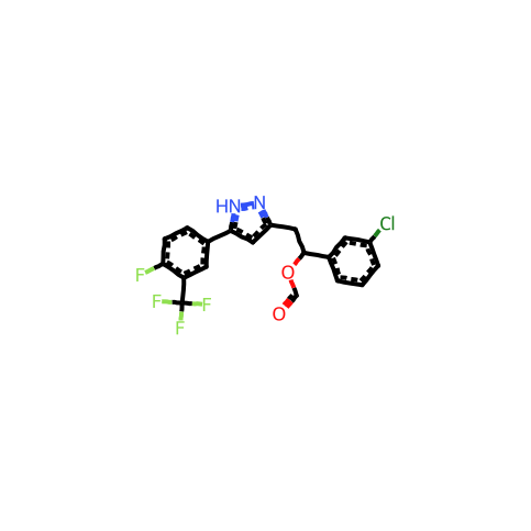 O=COC(Cc1cc(-c2ccc(F)c(C(F)(F)F)c2)[nH]n1)c1cccc(Cl)c1